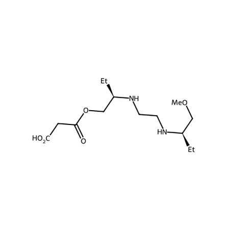 CC[C@H](COC)NCCN[C@H](CC)COC(=O)CC(=O)O